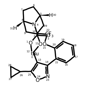 CC(C)(C)OC(=O)N1[C@@H]2CC[C@H]1CC(OCc1c(-c3ccccc3OC(F)(F)F)noc1C1CC1)C2